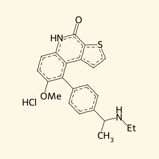 CCNC(C)c1ccc(-c2c(OC)ccc3[nH]c(=O)c4sccc4c23)cc1.Cl